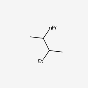 [CH2]CC(C)C(C)CCC